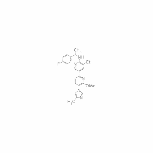 CCc1cc(-c2ccc(-n3cnc(C)c3)c(OC)n2)nnc1NC(C)c1ccc(F)cc1